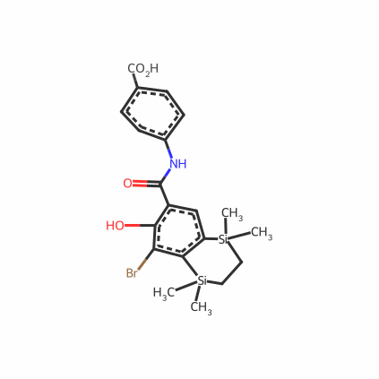 C[Si]1(C)CC[Si](C)(C)c2c1cc(C(=O)Nc1ccc(C(=O)O)cc1)c(O)c2Br